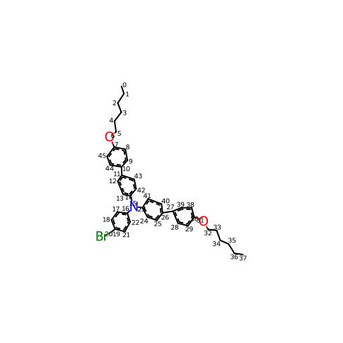 CCCCCCOc1ccc(-c2ccc(N(c3ccc(Br)cc3)c3ccc(-c4ccc(OCCCCCC)cc4)cc3)cc2)cc1